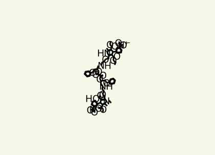 CCOC(=O)C1=C(COCCNCC(COc2ccccc2)OC(=O)C(=O)OC(CNCCOCC2=C(C(=O)O)C(c3cccc([N+](=O)[O-])c3)C(C(=O)OC)=C(C)N2CC)COc2ccccc2)NC(C)=C(C(=O)OC)C1c1cccc([N+](=O)[O-])c1